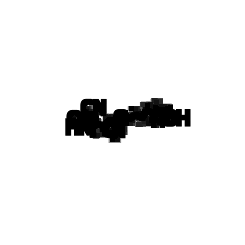 Cc1[nH]c(=O)c(C#N)cc1-c1ccnc(OCCCCC(C)(C)[Si](C)(C)O)c1